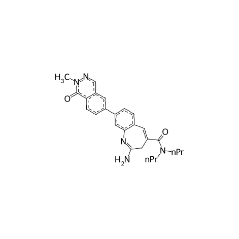 CCCN(CCC)C(=O)C1=Cc2ccc(-c3ccc4c(=O)n(C)ncc4c3)cc2N=C(N)C1